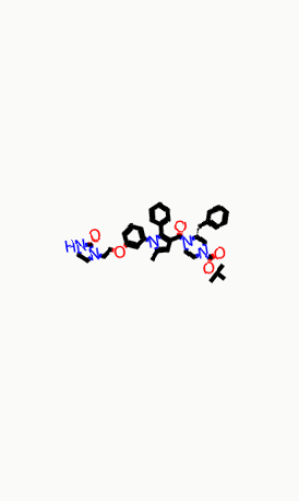 Cc1cc(C(=O)N2CCN(C(=O)OC(C)(C)C)C[C@H]2Cc2ccccc2)c(-c2ccccc2)n1-c1cccc(OCCN2CCNC2=O)c1